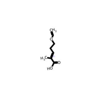 C=COCC/C=C(\C)C(=O)O